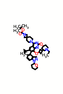 CCN1CCC(Oc2nc(N3CCC4(CC3)CN(C(=O)OC(C)(C)C)C4)c3cc(C4CC4)c(-c4c(C)ccc5c4cnn5C4CCCCO4)c(OC4CCC4)c3n2)CC1